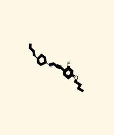 CCCCOc1ccc(C#C/C=C/[C@H]2CC[C@H](CCCC)CC2)c(F)c1